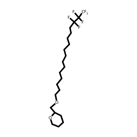 FC(F)(F)C(F)(F)C(F)(F)CCCCCCCCCCCCCOCC1CCCCO1